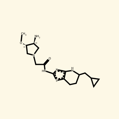 CO[C@H]1CN(CC(=O)Nc2nc3c(s2)CCC(CC2CC2)N3)C[C@@H]1N